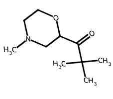 CN1CCOC(C(=O)C(C)(C)C)C1